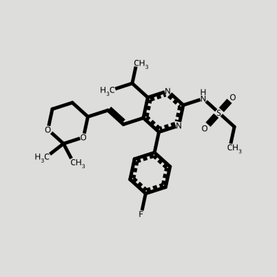 CCS(=O)(=O)Nc1nc(-c2ccc(F)cc2)c(/C=C/C2CCOC(C)(C)O2)c(C(C)C)n1